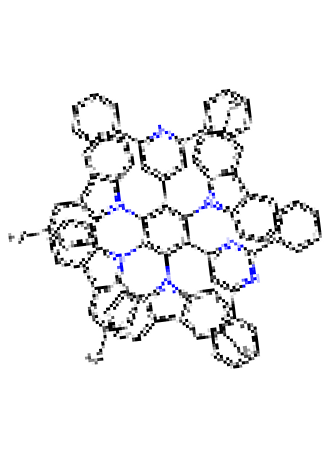 Cc1ccc2c(c1)c1ccccc1n2-c1c(-c2cc(-c3ccccc3)nc(-c3ccccc3)c2)c(-n2c3ccccc3c3cc(C)ccc32)c(-n2c3ccccc3c3cc(C)ccc32)c(-n2c3ccccc3c3cc(C)ccc32)c1-c1cc(-c2ccccc2)nc(-c2ccccc2)n1